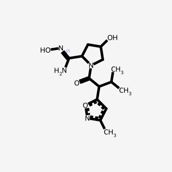 Cc1cc(C(C(=O)N2CC(O)CC2/C(N)=N/O)C(C)C)on1